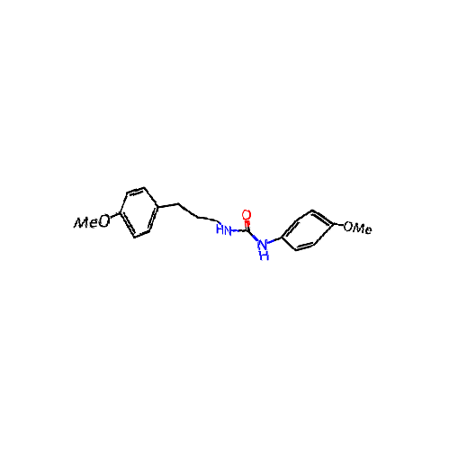 COc1ccc(CCCNC(=O)Nc2ccc(OC)cc2)cc1